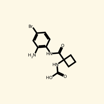 Nc1cc(Br)ccc1NC(=O)C1(NC(=O)O)CCC1